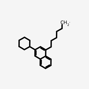 [CH2]CCCCCc1cc(C2CCCCC2)cc2ccccc12